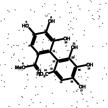 COC(=O)c1cc(O)c(O)c(O)c1-c1c(C(=O)O)cc(O)c(O)c1O